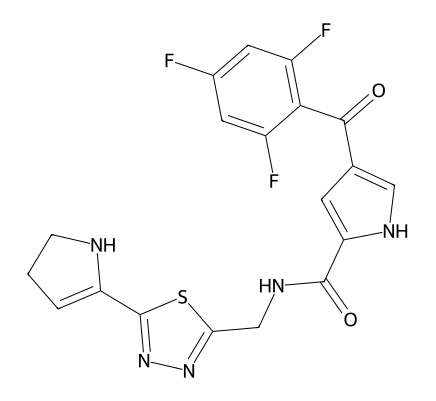 O=C(NCc1nnc(C2=CCCN2)s1)c1cc(C(=O)c2c(F)cc(F)cc2F)c[nH]1